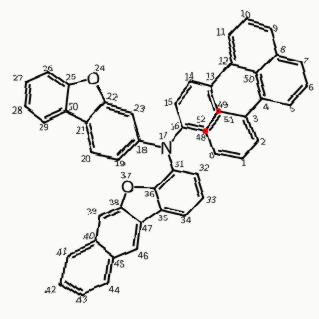 c1ccc(-c2cccc3cccc(-c4ccc(N(c5ccc6c(c5)oc5ccccc56)c5cccc6c5oc5cc7ccccc7cc56)cc4)c23)cc1